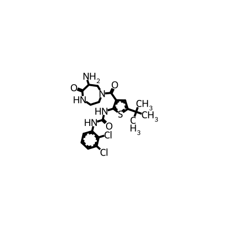 CC(C)(C)c1cc(C(=O)N2CCNC(=O)C(N)C2)c(NC(=O)Nc2cccc(Cl)c2Cl)s1